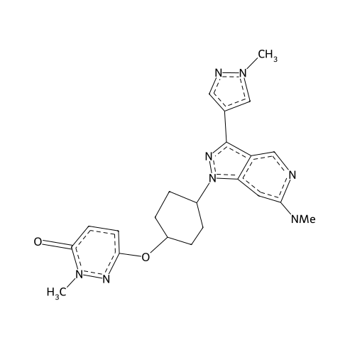 CNc1cc2c(cn1)c(-c1cnn(C)c1)nn2C1CCC(Oc2ccc(=O)n(C)n2)CC1